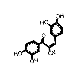 N#CC(=Cc1ccc(O)c(O)c1)C(=O)c1ccc(O)c(O)c1